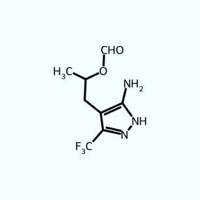 CC(Cc1c(C(F)(F)F)n[nH]c1N)OC=O